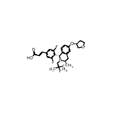 C[C@@H]1Cc2cc(O[C@H]3CCOC3)ccc2[C@@H](c2c(F)cc(/C=C/C(=O)O)cc2F)N1CC(C)(C)F